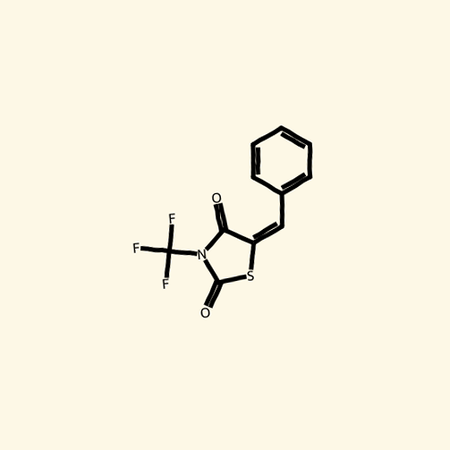 O=C1SC(=Cc2ccccc2)C(=O)N1C(F)(F)F